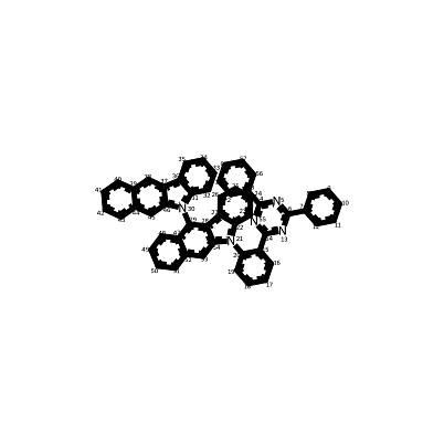 c1ccc(-c2nc(-c3ccccc3)nc(-c3ccccc3-n3c4ccccc4c4c(-n5c6ccccc6c6cc7ccccc7cc65)c5ccccc5cc43)n2)cc1